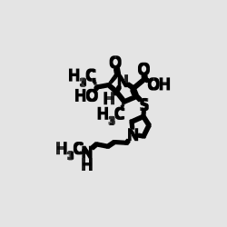 CNCCCCN1CCC(SC2=C(C(=O)O)N3C(=O)[C@H]([C@@H](C)O)[C@H]3[C@H]2C)C1